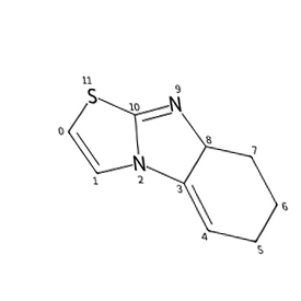 C1=CN2C3=CCCCC3N=C2S1